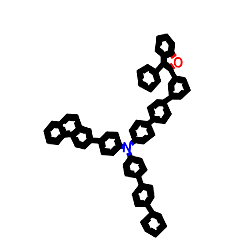 c1ccc(-c2ccc(-c3ccc(N(c4ccc(-c5ccc(-c6cccc(-c7oc8ccccc8c7-c7ccccc7)c6)cc5)cc4)c4ccc(-c5ccc6c(ccc7ccccc76)c5)cc4)cc3)cc2)cc1